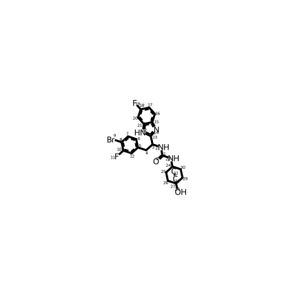 O=C(NC(Cc1ccc(Br)c(F)c1)c1nc2ccc(F)cc2[nH]1)NC12CCC(O)(CC1)CC2